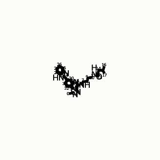 Cc1nnc2c(NCCCCNC(=O)CC(C)C)nc3cc(-c4nc5ccccc5[nH]4)ccc3n12